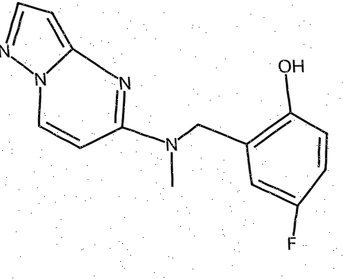 CN(Cc1cc(F)ccc1O)c1ccn2nccc2n1